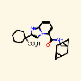 O=C(NCC12CC3CC3CC1C2)c1cccc2nc(C3(C(=O)O)CCCCC3)cn12